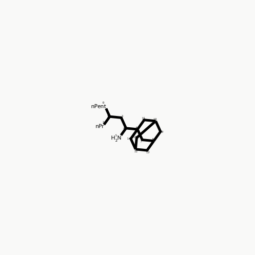 CCCCCC(CCC)CC(N)C12CC3CC(CC(C3)C1)C2